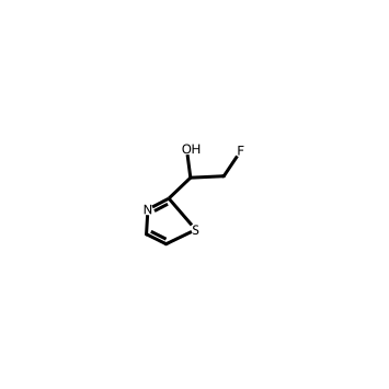 OC(CF)c1nccs1